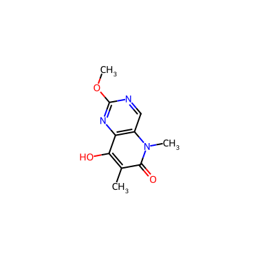 COc1ncc2c(n1)c(O)c(C)c(=O)n2C